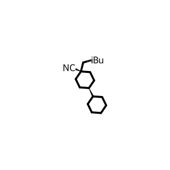 CCC(C)C[C@]1(C#N)CC[C@@H](C2CCCCC2)CC1